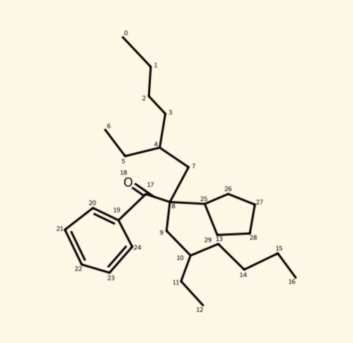 CCCCC(CC)CC(CC(CC)CCCC)(C(=O)c1ccccc1)C1CCCC1